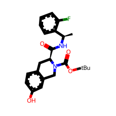 C[C@@H](NC(=O)[C@@H]1Cc2ccc(O)cc2CN1C(=O)OC(C)(C)C)c1ccccc1F